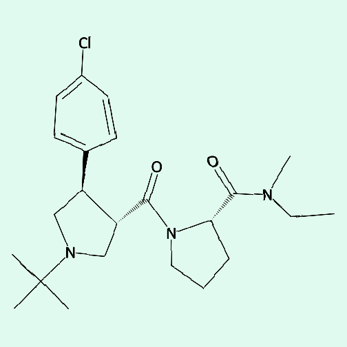 CCN(C)C(=O)[C@@H]1CCCN1C(=O)[C@@H]1CN(C(C)(C)C)C[C@H]1c1ccc(Cl)cc1